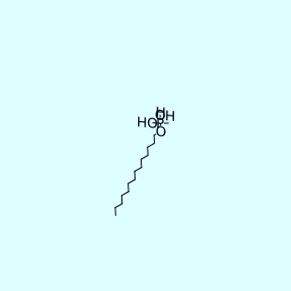 CCCCCCCCCCCCCCO[PH](C)(O)O